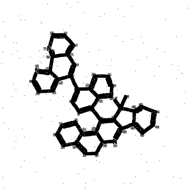 CC1(C)C2=C(c3ccc(-c4cc5cccnc5c5ncccc45)c4ccccc34)C3=c4ccccc4=CCC3N=C2c2ccccc21